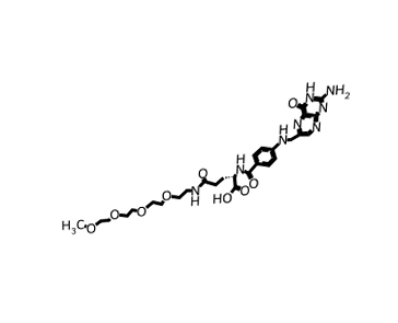 COCCOCCOCCOCCNC(=O)CC[C@H](NC(=O)c1ccc(NCc2cnc3nc(N)[nH]c(=O)c3n2)cc1)C(=O)O